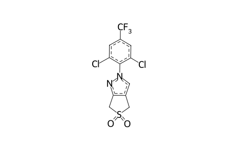 O=S1(=O)Cc2cn(-c3c(Cl)cc(C(F)(F)F)cc3Cl)nc2C1